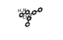 Cc1ccccc1-c1cc(N(c2ccc(C3=CC=CCC3)cc2)c2ccc(-c3ccccc3)cc2)ccc1N